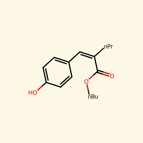 CCCCOC(=O)C(=Cc1ccc(O)cc1)CCC